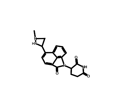 CN1CC(c2ccc3c4c(cccc24)N(C2CCC(=O)NC2=O)C3=O)N1